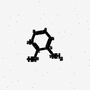 [NH]c1ncccc1N